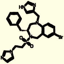 O=S(=O)(CCn1ccnc1)N1Cc2cc(Br)ccc2N(Cc2c[nH]cn2)C[C@H]1Cc1ccccc1